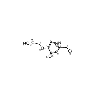 O=C(O)COc1c[nH]c(CCl)cc1=O